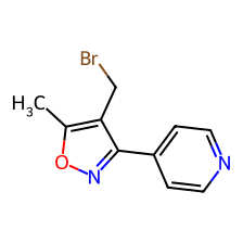 Cc1onc(-c2ccncc2)c1CBr